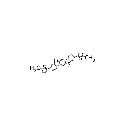 Cc1ccc(-c2ccc3c(c2)oc2cc4c(cc23)sc2cc(-c3ccc(C)s3)ccc24)s1